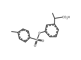 Cc1ccc(S(=O)(=O)Oc2cccc(C(C)C(=O)O)c2)cc1